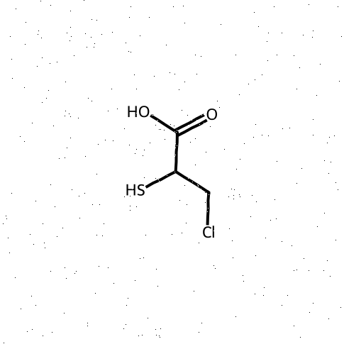 O=C(O)C(S)CCl